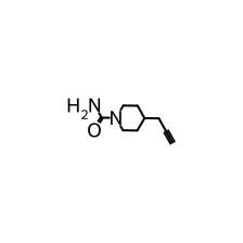 C#CCC1CCN(C(N)=O)CC1